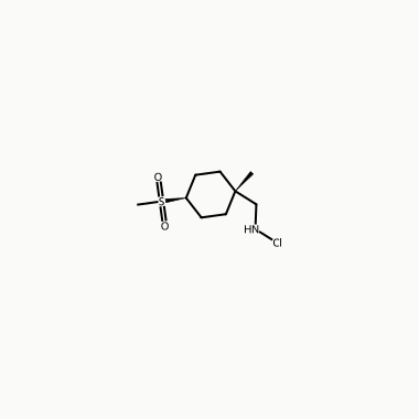 CS(=O)(=O)[C@H]1CC[C@](C)(CNCl)CC1